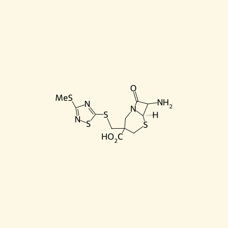 CSc1nsc(SCC2(C(=O)O)CS[C@@H]3C(N)C(=O)N3C2)n1